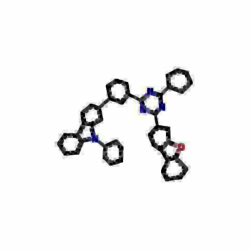 c1ccc(-c2nc(-c3cccc(-c4ccc5c6ccccc6n(-c6ccccc6)c5c4)c3)nc(-c3ccc4c(c3)oc3ccccc34)n2)cc1